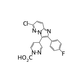 O=C(O)N1C=CC(c2c(-c3ccc(F)cc3)nc3ccc(Cl)nn23)C=N1